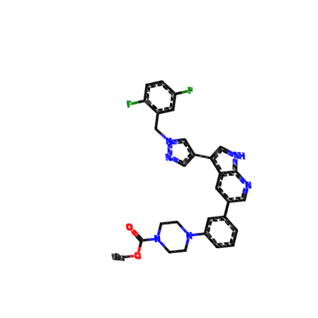 CC(C)(C)OC(=O)N1CCN(c2cccc(-c3cnc4[nH]cc(-c5cnn(Cc6cc(F)ccc6F)c5)c4c3)c2)CC1